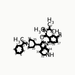 CC(c1ccccc1)N1CCC(c2cn(-c3ccc(F)cc3C(=O)N(C)C(C)C)c3c2=CCNC=3)CC1